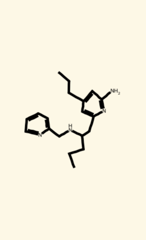 CCCc1cc(N)nc(CC(CCC)NCc2ccccn2)c1